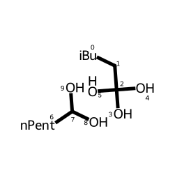 CCC(C)CC(O)(O)O.CCCCCC(O)O